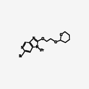 CC(C)n1c(OCCOC2CCCCO2)nc2cnc(Br)cc21